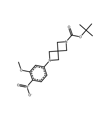 COc1cc(N2CC3(CN(C(=O)OC(C)(C)C)C3)C2)ccc1[N+](=O)[O-]